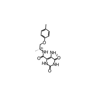 Cc1ccc(OC[C@@H](C)NC(=O)c2[nH]c(=O)[nH]c(=O)c2N)cc1